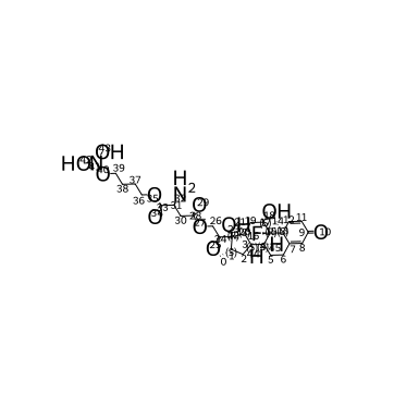 C[C@H]1C[C@H]2[C@@H]3CCC4=CC(=O)C=C[C@]4(C)[C@@]3(F)[C@@H](O)C[C@]2(C)[C@@]1(O)C(=O)COC(=O)CC(N)C(=O)OCCCCON(O)O